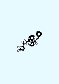 C[C@H](NC(=O)[C@@H]1CCC(=O)N1)C(=O)N1CCC[C@]1(C(=O)OCc1ccccc1)c1ccccn1